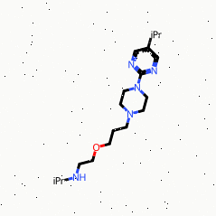 CC(C)NCCOCCCN1CCN(c2ncc(C(C)C)cn2)CC1